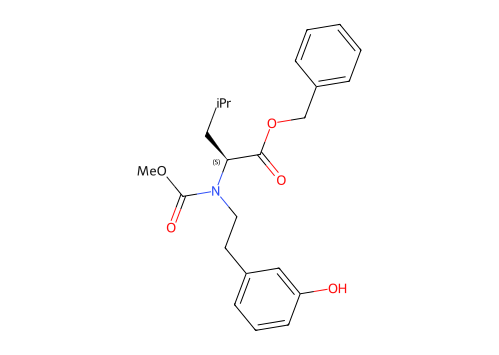 COC(=O)N(CCc1cccc(O)c1)[C@@H](CC(C)C)C(=O)OCc1ccccc1